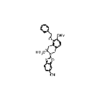 COc1ccc2c(c1OCc1ccccc1)C[C@@H](C(=O)O)N(c1nc3ccc(C#N)cc3o1)C2